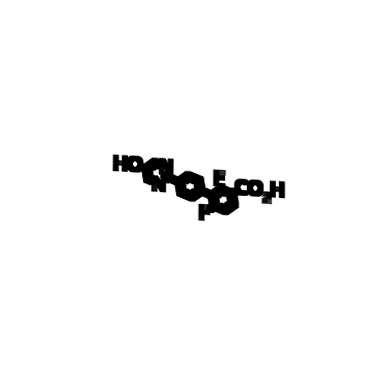 O=C(O)c1ccc(F)c(-c2ccc(-c3ncc(O)cn3)cc2)c1F